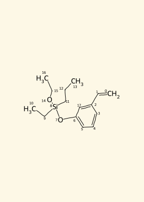 C=Cc1cccc(O[Si](CC)(CCC)OCC)c1